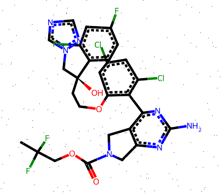 CC(F)(F)COC(=O)N1Cc2nc(N)nc(-c3c(Cl)cc(Cl)cc3OCC[C@](O)(Cn3cncn3)c3ccc(F)cc3F)c2C1